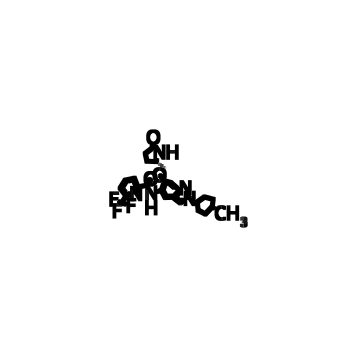 C[C@H]1CC[C@H](n2cc3cc(NC(=O)c4cccc(C(F)(F)F)n4)c(OC[C@@H]4CCC(=O)N4)cc3n2)CC1